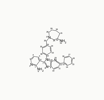 Nc1ncccc1-c1nc2ccc(-c3ccccc3)nc2n1-c1ccc(CN2CCCCC(N)C2)cc1